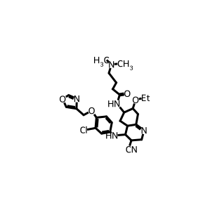 CCOC1CC2=NCC(C#N)C(Nc3ccc(OCc4cocn4)c(Cl)c3)C2CC1NC(=O)CCCN(C)C